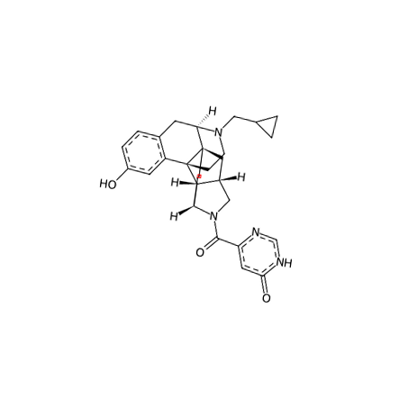 O=C(c1cc(=O)[nH]cn1)N1C[C@H]2C[C@@]34CC[C@@H]1[C@@H]2[C@@]31CCN(CC2CC2)[C@@H]4Cc2ccc(O)cc21